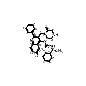 C[C@H](NC(=O)Oc1c(CN2CCNCC2=O)c(-c2ccccc2)nc2ccc(F)cc12)C1CCCCC1